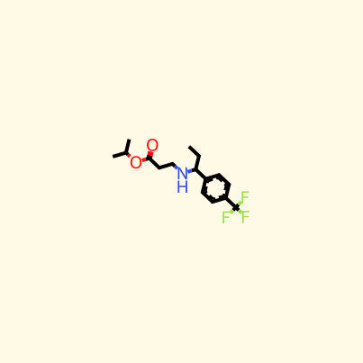 CCC(NCCC(=O)OC(C)C)c1ccc(C(F)(F)F)cc1